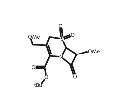 COCC1=C(C(=O)OC(C)(C)C)N2C(=O)[C@H](OC)C2S(=O)(=O)C1